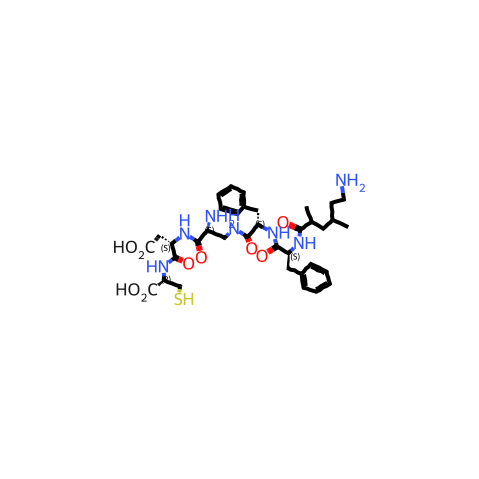 CC(CCN)CC(C)C(=O)N[C@@H](Cc1ccccc1)C(=O)N[C@@H](Cc1ccccc1)C(=O)NC[C@H](N)C(=O)N[C@@H](CC(=O)O)C(=O)N[C@@H](CS)C(=O)O